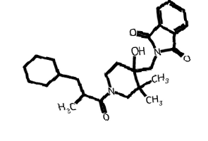 CC(CC1CCCCC1)C(=O)N1CCC(O)(CN2C(=O)c3ccccc3C2=O)C(C)(C)C1